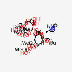 CC[C@H](C)[C@H]1O[C@]2(C=C[C@@H]1C)C[C@@H]1C[C@@H](C/C=C(\C)[C@@H](O[C@H]3C[C@H](OC)[C@@H](O[C@H]4C[C@H](OC)[C@@H](O)[C@H](C)O4)[C@H](C)O3)[C@@H](C)/C=C/C=C3\CO[C@@H]4[C@H](O)C(C)=C[C@@H](C(=O)O1)[C@]34O)O2.CO[C@H]1C[C@H](O[C@H]2[C@H](C)O[C@@H](O[C@@H]3/C(C)=C/C[C@@H]4C[C@@H](C[C@]5(C=C[C@H](C)[C@@H](C(C)C)O5)O4)OC(=O)[C@@H]4C=C(C)[C@@H](O)[C@H]5OC/C(=C\C=C\[C@@H]3C)[C@]54O)C[C@@H]2OC)O[C@@H](C)[C@@H]1O.Cc1cc(C2CC2)nc(Nc2ccccc2)n1